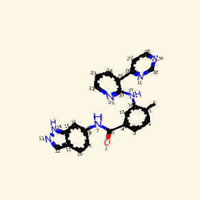 Cc1ccc(C(=O)Nc2ccc3cn[nH]c3c2)cc1Nc1ncccc1-c1ccncn1